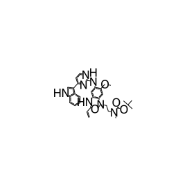 C=CC(=O)Nc1cc(Nc2nccc(-c3c[nH]c4ccccc34)n2)c(OC)cc1N(C)CCN(C)C(=O)OC(C)(C)C